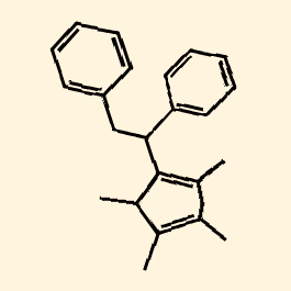 CC1=C(C)C(C)C(C(Cc2ccccc2)c2ccccc2)=C1C